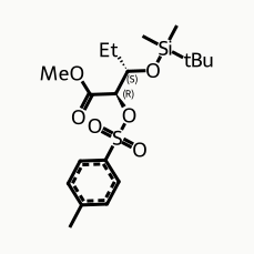 CC[C@H](O[Si](C)(C)C(C)(C)C)[C@@H](OS(=O)(=O)c1ccc(C)cc1)C(=O)OC